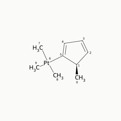 C[C@@H]1C=CC=[C]1[Pt]([CH3])([CH3])[CH3]